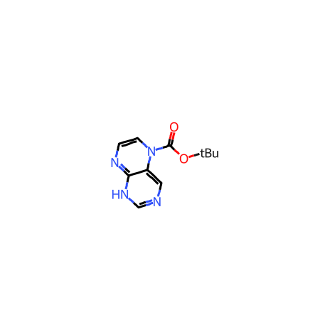 CC(C)(C)OC(=O)N1C=CN=C2NC=NC=C21